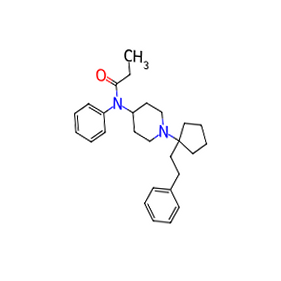 CCC(=O)N(c1ccccc1)C1CCN(C2(CCc3ccccc3)CCCC2)CC1